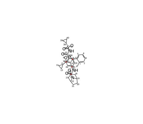 Cc1ccccc1-c1noc(C2CC2)c1COC1CC2CCC(C1)N2C(=O)Nc1ccc(C(=O)NS(=O)(=O)C2CC2)cc1